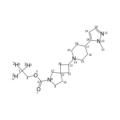 [2H]C([2H])([2H])COC(=O)N1CCC2(CC(N3CCC(c4ccnn4C)CC3)C2)C1